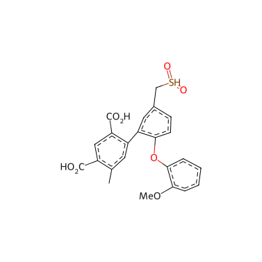 COc1ccccc1Oc1ccc(C[SH](=O)=O)cc1-c1cc(C)c(C(=O)O)cc1C(=O)O